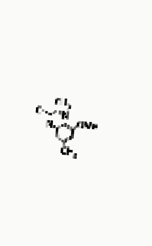 COc1cc(C)cc2nc(Cl)c(C)nc12